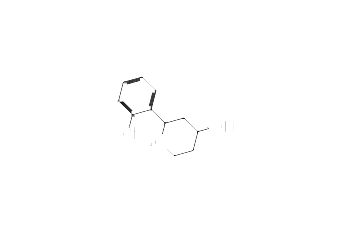 OC1CCOC(c2ccccc2Cl)C1